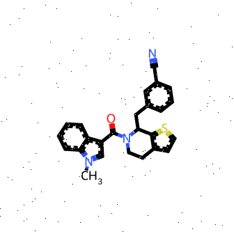 Cn1cc(C(=O)N2CCc3ccsc3C2Cc2cccc(C#N)c2)c2ccccc21